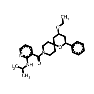 CCOC1CC(c2ccccc2)OC2(CCN(C(=O)c3cccnc3NC(C)C)CC2)C1